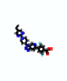 CCc1cnc(N2CCC(n3nnc4cc(-c5cc(F)c(C(=O)O)cc5F)ncc43)CC2)nc1